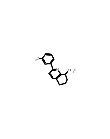 O=C(O)C1CCCc2ccc(-c3cccc(C(F)(F)F)c3)nc21